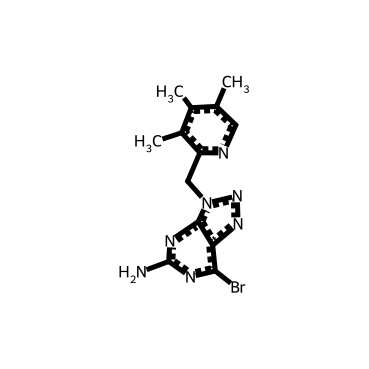 Cc1cnc(Cn2nnc3c(Br)nc(N)nc32)c(C)c1C